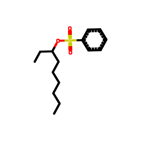 CCCCCCC(CC)OS(=O)(=O)c1ccccc1